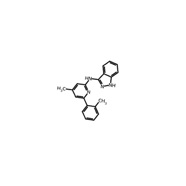 Cc1cc(Nc2n[nH]c3ccccc23)nc(-c2ccccc2C)c1